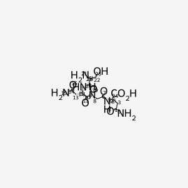 NC(=O)C[C@H](NC(=O)CNC(=O)[C@H](CC(N)=O)NC(=O)[C@@H](N)CO)C(=O)O